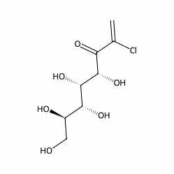 C=C(Cl)C(=O)[C@H](O)[C@@H](O)[C@H](O)[C@H](O)CO